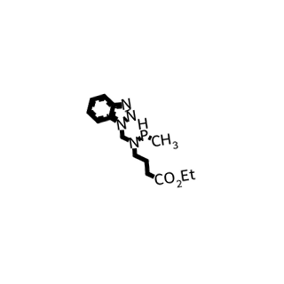 CCOC(=O)CCCN(Cn1nnc2ccccc21)PC